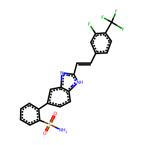 NS(=O)(=O)c1ccccc1-c1ccc2[nH]c(C=Cc3ccc(C(F)(F)F)c(F)c3)nc2c1